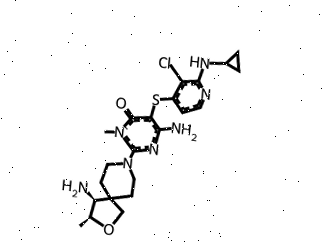 C[C@@H]1OCC2(CCN(c3nc(N)c(Sc4ccnc(NC5CC5)c4Cl)c(=O)n3C)CC2)[C@@H]1N